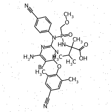 COCP(=O)(NC(C)(C(=O)O)C(C)C)N(c1ccc(C#N)cc1)c1nc(N)c(Br)c(Oc2c(C)cc(C#N)cc2C)n1